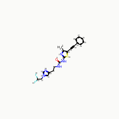 Cc1nc(NC(=O)NCCc2cn(CC(F)F)cn2)sc1C#Cc1ccccc1